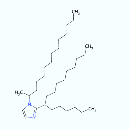 CCCCCCCCCCCCC(C)n1ccnc1C(CCCCCC)CCCCCCCCC